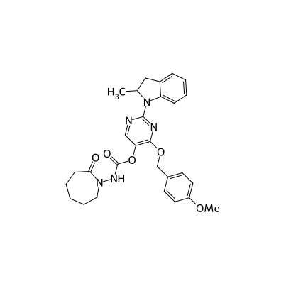 COc1ccc(COc2nc(N3c4ccccc4CC3C)ncc2OC(=O)NN2CCCCCC2=O)cc1